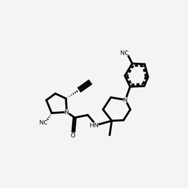 C#C[C@H]1CC[C@@H](C#N)N1C(=O)CNC1(C)CCN(c2cccc(C#N)c2)CC1